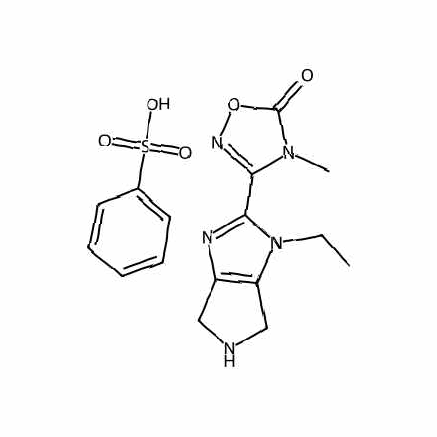 CCn1c(-c2noc(=O)n2C)nc2c1CNC2.O=S(=O)(O)c1ccccc1